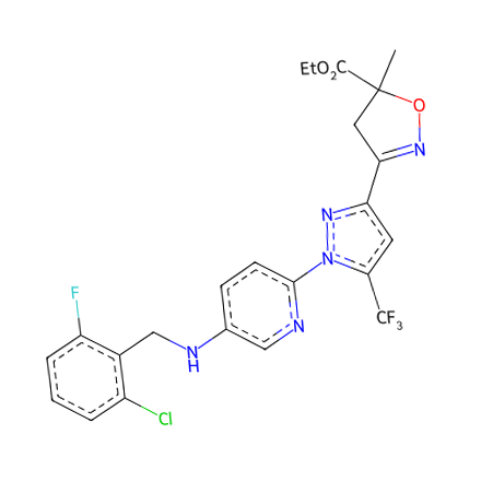 CCOC(=O)C1(C)CC(c2cc(C(F)(F)F)n(-c3ccc(NCc4c(F)cccc4Cl)cn3)n2)=NO1